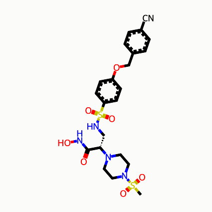 CS(=O)(=O)N1CCN([C@@H](CNS(=O)(=O)c2ccc(OCc3ccc(C#N)cc3)cc2)C(=O)NO)CC1